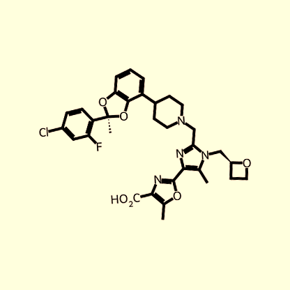 Cc1oc(-c2nc(CN3CCC(c4cccc5c4O[C@@](C)(c4ccc(Cl)cc4F)O5)CC3)n(C[C@@H]3CCO3)c2C)nc1C(=O)O